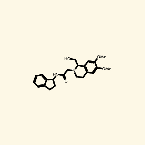 COc1cc2c(cc1OC)C(CO)N(CC(=O)NC1CCc3ccccc31)CC2